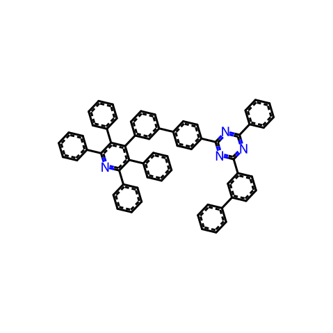 c1ccc(-c2cccc(-c3nc(-c4ccccc4)nc(-c4ccc(-c5cccc(-c6c(-c7ccccc7)c(-c7ccccc7)nc(-c7ccccc7)c6-c6ccccc6)c5)cc4)n3)c2)cc1